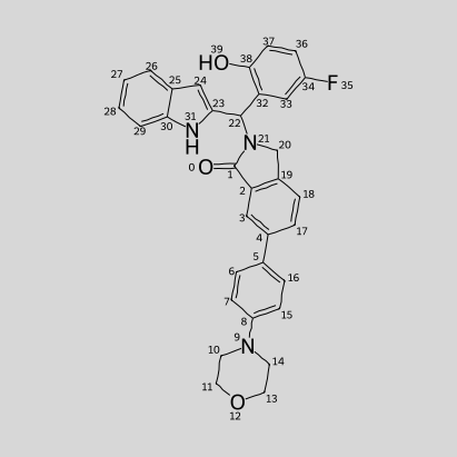 O=C1c2cc(-c3ccc(N4CCOCC4)cc3)ccc2CN1C(c1cc2ccccc2[nH]1)c1cc(F)ccc1O